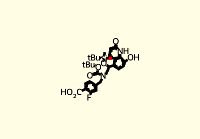 CC(C)(C)OC(=O)N(Cc1ccc(C(=O)O)c(F)c1)CC(O[Si](C)(C)C(C)(C)C)c1ccc(O)c2[nH]c(=O)ccc12